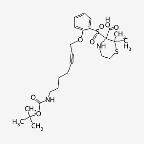 CC(C)(C)OC(=O)NCCCCC#CCOc1ccccc1S(=O)(=O)C1(C(=O)O)NCCSC1(C)C